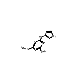 CNc1nc(NC)nc(Nc2cc[nH]c2)n1